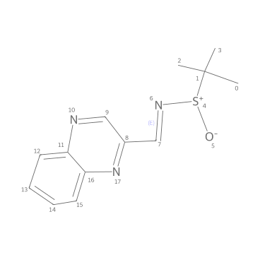 CC(C)(C)[S+]([O-])/N=C/c1cnc2ccccc2n1